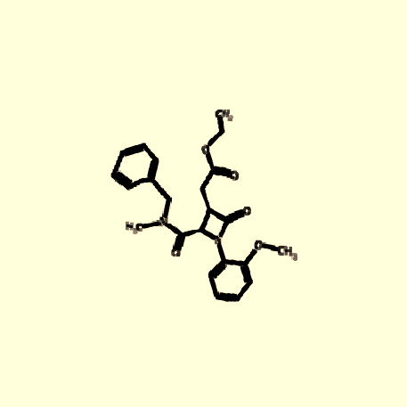 CCOC(=O)C[C@H]1C(=O)N(c2ccccc2OC)[C@H]1C(=O)N(C)Cc1ccccc1